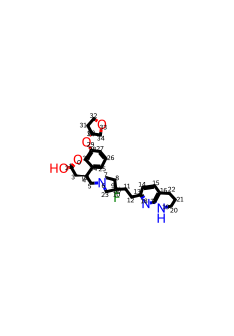 O=C(O)C[C@H](CN1CC[C@@](F)(CCc2ccc3c(n2)NCCC3)C1)c1cccc(O[C@@H]2CCOC2)c1